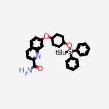 CC(C)(C)[Si](OC1CCC(Oc2[c]cc3ccc(C(N)=O)nc3c2)CC1)(c1ccccc1)c1ccccc1